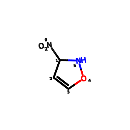 O=[N+]([O-])C1C=CON1